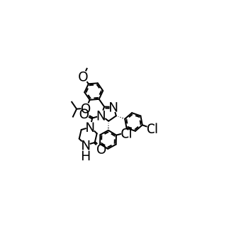 COc1ccc(C2=N[C@H](c3ccc(Cl)cc3)[C@H](c3ccccc3Cl)N2C(=O)N2CCNC(=O)C2)c(OC(C)C)c1